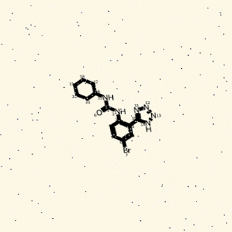 O=C(Nc1ccc(Br)cc1-c1nnn[nH]1)NC1CCCCC1